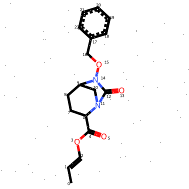 CC=COC(=O)C1CCC2CN1C(=O)N2OCc1ccccc1